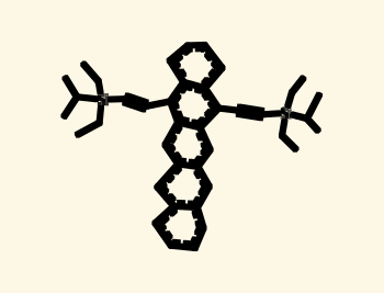 CC[Si](C#Cc1c2ccccc2c(C#C[Si](CC)(CC)C(C)C)c2cc3cc4ccccc4cc3cc12)(CC)C(C)C